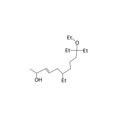 CCOC(CC)(CC)CCCC(CC)CC=CC(C)O